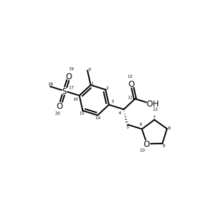 Cc1cc([C@@H](CC2CCCO2)C(=O)O)ccc1S(C)(=O)=O